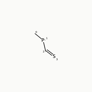 C[P][C]=S